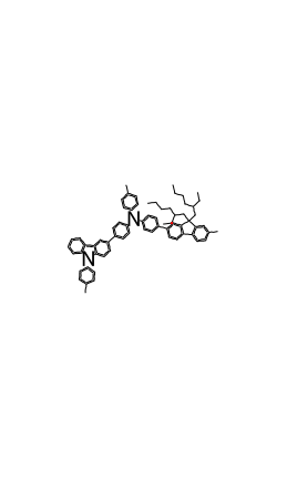 CCCCC(CC)CC1(CC(CC)CCCC)c2cc(C)ccc2-c2ccc(-c3ccc(N(c4ccc(C)cc4)c4ccc(-c5ccc6c(c5)c5ccccc5n6-c5ccc(C)cc5)cc4)cc3)cc21